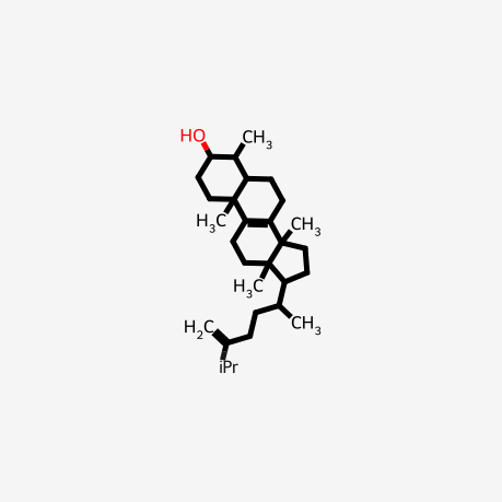 C=C(CCC(C)C1CCC2(C)C3=C(CCC12C)C1(C)CCC(O)C(C)C1CC3)C(C)C